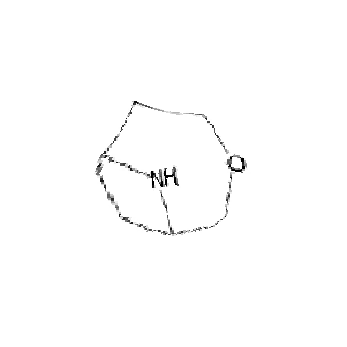 C1CC2CC(CO1)N2